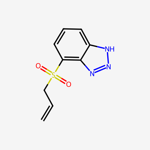 C=CCS(=O)(=O)c1cccc2[nH]nnc12